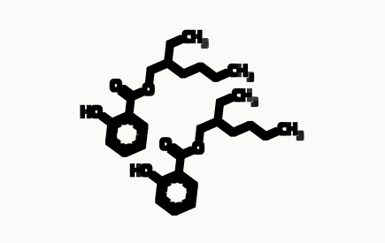 CCCCC(CC)COC(=O)c1ccccc1O.CCCCC(CC)COC(=O)c1ccccc1O